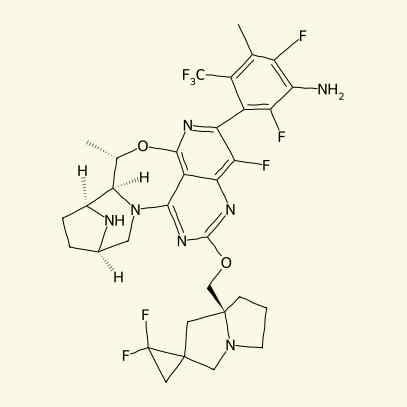 Cc1c(F)c(N)c(F)c(-c2nc3c4c(nc(OC[C@@]56CCCN5CC5(CC5(F)F)C6)nc4c2F)N2C[C@H]4CC[C@H](N4)[C@H]2[C@H](C)O3)c1C(F)(F)F